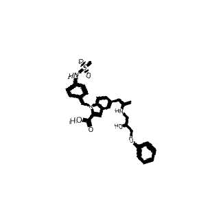 CC(Cc1ccc2c(c1)cc(C(=O)O)n2Cc1ccc(NS(C)(=O)=O)cc1)NCC(O)COc1ccccc1